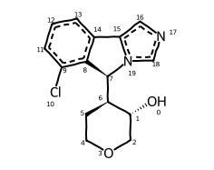 O[C@@H]1COCC[C@H]1[C@H]1c2c(Cl)cccc2-c2cncn21